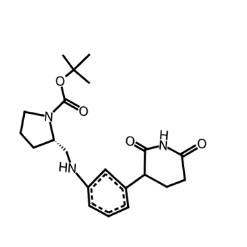 CC(C)(C)OC(=O)N1CCC[C@H]1CNc1cccc(C2CCC(=O)NC2=O)c1